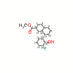 COC(=O)c1ccc2cccc(-c3cccc(F)c3O)c2c1